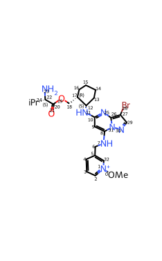 CO[n+]1cccc(CNc2cc(N[C@H]3CCCC[C@H]3COC(=O)[C@@H](N)C(C)C)nc3c(Br)cnn23)c1